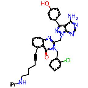 CC(C)NCCCCC#Cc1cccc2nc(Cn3nc(-c4ccc(O)cc4)c4c(N)ncnc43)n(Cc3ccccc3Cl)c(=O)c12